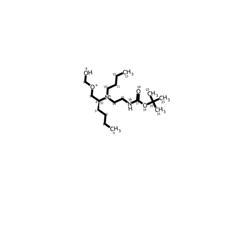 CCCC[C@@H](COCO)N(CCCC)CCNC(=O)OC(C)(C)C